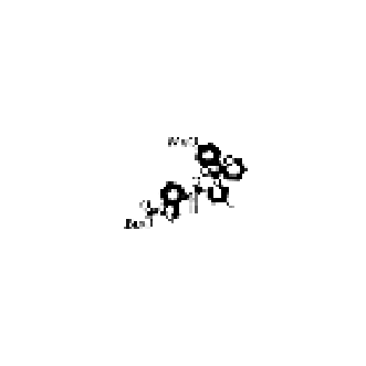 COc1ccc(C2(C(=O)N3C[C@H](F)C[C@@H]3C(=O)Nc3cccc4c3cnn4C(=O)OC(C)(C)C)CCCCO2)cc1